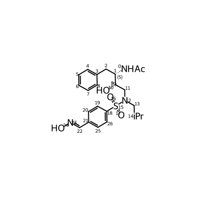 CC(=O)N[C@@H](Cc1ccccc1)[C@@H](O)CN(CC(C)C)S(=O)(=O)c1ccc(C=NO)cc1